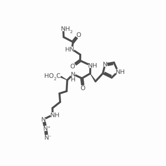 [N-]=[N+]=NNCCCC[C@H](NC(=O)[C@H](Cc1c[nH]cn1)NC(=O)CNC(=O)CN)C(=O)O